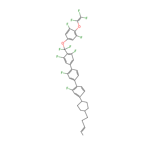 C/C=C/CCC1CCC(c2ccc(-c3ccc(-c4cc(F)c(C(F)(F)Oc5cc(F)c(OC(F)=C(F)F)c(F)c5)c(F)c4)c(F)c3)c(F)c2)CC1